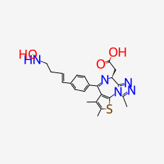 Cc1sc2c(c1C)C(c1ccc(C=CCCNO)cc1)=N[C@@H](CC(=O)O)c1nnc(C)n1-2